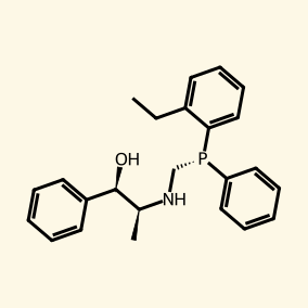 CCc1ccccc1[P@@](CN[C@@H](C)[C@H](O)c1ccccc1)c1ccccc1